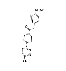 CC(=O)Nc1ccc(CC(=O)N2CCN(c3ccc(C#N)nn3)CC2)nn1